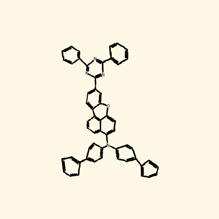 c1ccc(-c2ccc(N(c3ccc(-c4ccccc4)cc3)c3ccc4c5c(cccc35)-c3ccc(-c5nc(-c6ccccc6)nc(-c6ccccc6)n5)cc3O4)cc2)cc1